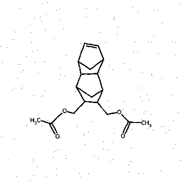 CC(=O)OCC1C(COC(C)=O)C2CC1C1C3C=CC(C3)C21